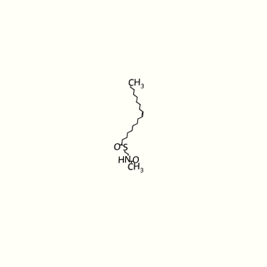 CCCCCCCC/C=C\CCCCCCCC(=O)SCCNC(C)=O